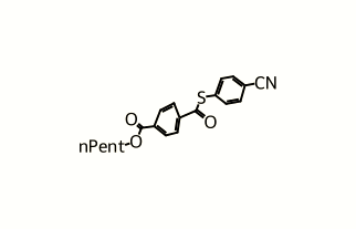 CCCCCOC(=O)c1ccc(C(=O)Sc2ccc(C#N)cc2)cc1